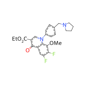 CCOC(=O)c1cn(-c2ccc(CN3CCCC3)cc2)c2c(OC)c(F)c(F)cc2c1=O